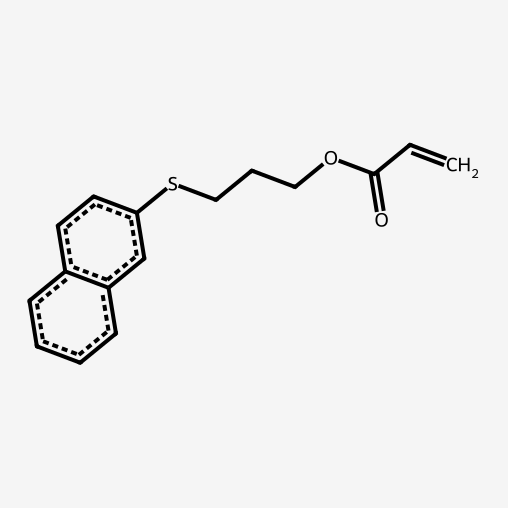 C=CC(=O)OCCCSc1ccc2ccccc2c1